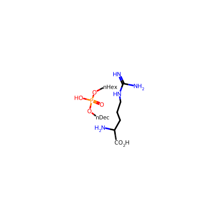 CCCCCCCCCCOP(=O)(O)OCCCCCC.N=C(N)NCCCC(N)C(=O)O